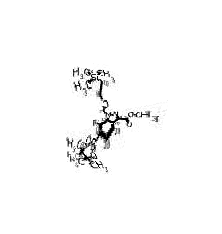 COC(=O)c1nn(COCC[Si](C)(C)C)c2c(F)c(B3OC(C)(C)C(C)(C)O3)ccc12